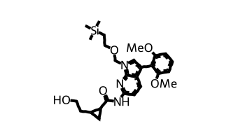 COc1cccc(OC)c1-c1cn(COCC[Si](C)(C)C)c2nc(NC(=O)C3CC3CCO)ccc12